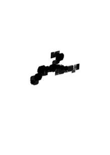 N#Cc1cccc(COc2cc(OCc3cccc(-c4ccc5c(c4)OCCO5)c3Cl)ccc2CNCC(O)CC(=O)O)c1